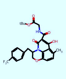 Cc1ccc2c3c1c(O)c(C(=O)NCC(=O)OC(C)(C)C)c(=O)n3C(Cc1ccc(C(F)(F)F)cc1)CO2